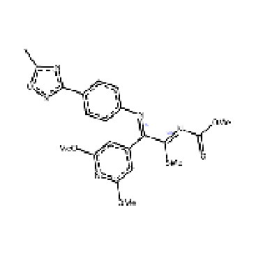 COC(=O)/N=C(SC)/C(=N/c1ccc(-c2noc(C)n2)cc1)c1cc(OC)nc(OC)c1